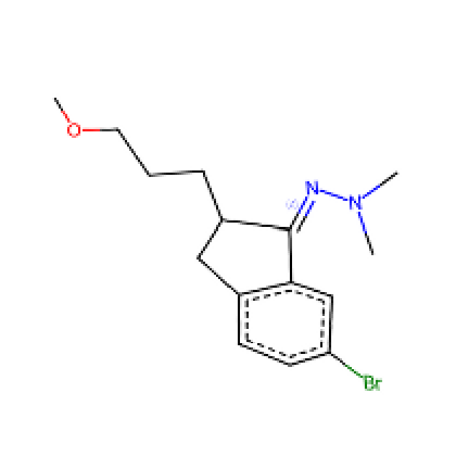 COCCCC1Cc2ccc(Br)cc2/C1=N\N(C)C